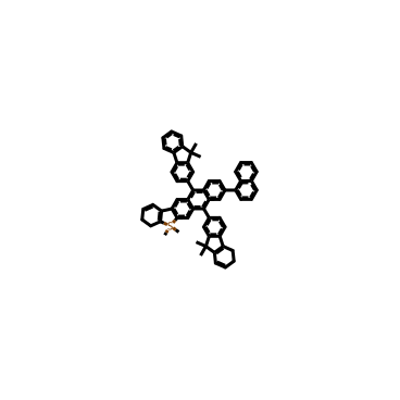 CC1(C)C2=C(CCC=C2)c2ccc(-c3c4cc(-c5cccc6ccccc56)ccc4c(-c4ccc5c(c4)C(C)(C)c4ccccc4-5)c4cc5c(cc34)S(C)(C)C3=C5C=CCC3)cc21